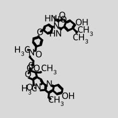 CCc1c2c(nc3ccc(O)cc13)/C(=C/C1=C(C=O)COC(=O)C1(CC)OC(=O)CCN(C)C(=O)c1ccc(Oc3ccc(N(C(=N)C=O)C(=N)c4cc(C(C)C)c(O)cc4O)cc3)cc1)N(C)C2